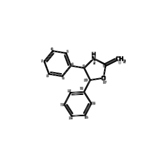 C=C1NC(c2ccccc2)C(c2ccccc2)O1